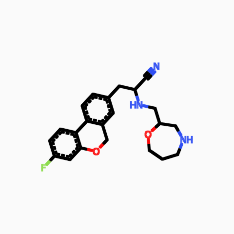 N#CC(Cc1ccc2c(c1)COc1cc(F)ccc1-2)NCC1CNCCCO1